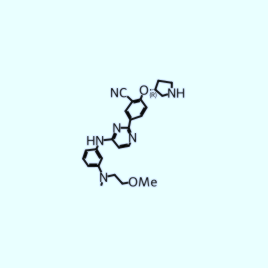 COCCN(C)c1cccc(Nc2ccnc(-c3ccc(O[C@@H]4CCNC4)c(C#N)c3)n2)c1